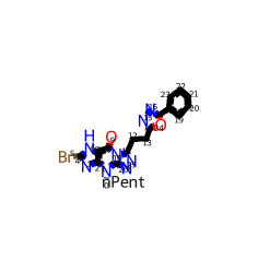 CCCCCn1c2nc(Br)[nH]c2c(=O)n2c(CCc3nnc(-c4ccccc4)o3)nnc12